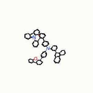 c1cc(-c2cc3ccccc3c3ccccc23)cc(N(c2ccc(-c3ccccc3-c3ccccc3-n3c4ccccc4c4ccccc43)cc2)c2ccc(-c3cccc4c3oc3ccccc34)cc2)c1